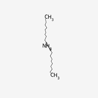 CCCCCCCCCC#CC#CCCCCCCCCCC.N